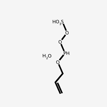 C=CCOPOOS(=O)(=O)O.O